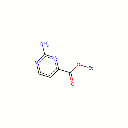 CCOC(=O)c1ccnc(N)n1